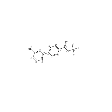 CC(C)(C)OC(=O)c1ccc(-c2cc(O)ccn2)cc1